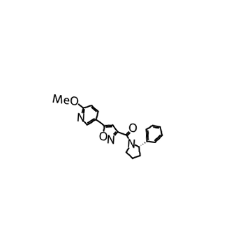 COc1ccc(-c2cc(C(=O)N3CCC[C@H]3c3ccccc3)no2)cn1